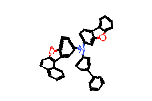 c1ccc(-c2ccc(N(c3ccc4c(c3)oc3ccccc34)c3ccc4oc5ccc6ccccc6c5c4c3)cc2)cc1